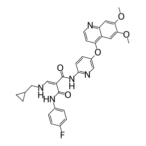 COc1cc2nccc(Oc3ccc(NC(=O)/C(=C/NCC4CC4)C(=O)Nc4ccc(F)cc4)nc3)c2cc1OC